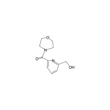 O=C(c1cccc(CO)n1)N1CCOCC1